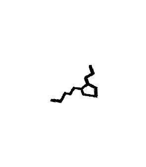 CCCCCC1CCCC1CCC